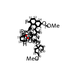 COCOc1cc(-c2ncc3c(N4C[C@H]5CC[C@@H](C4)N5C(=O)OC(C)(C)C)nc(OCC45CCCN4C(COC)CC5)nc3c2F)c2c(C#C[Si](C(C)C)(C(C)C)C(C)C)c(F)ccc2c1